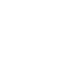 CCCN(CCc1ccsc1)CCc1cccc2[nH]c(=O)[nH]c12